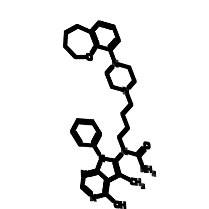 Cc1c(N(CCCCN2CCN(c3cccc4c3OCCCC4)CC2)C(N)=O)n(-c2ccccc2)c2ncnc(O)c12